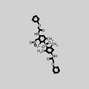 Cc1cc(NC(=O)COc2ccccc2)cc(C)c1S(=O)(=O)c1c(C)cc(NC(=O)COc2ccccc2)c(C[N+](=O)[O-])c1C